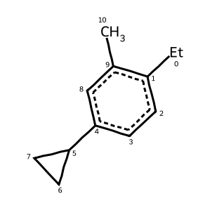 CCc1ccc(C2CC2)cc1C